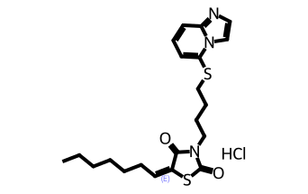 CCCCCC/C=C1/SC(=O)N(CCCCSc2cccc3nccn23)C1=O.Cl